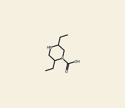 CCC1CN(C(=O)O)C(CC)CN1